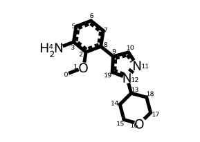 COc1c(N)cccc1-c1cnn(C2CCOCC2)c1